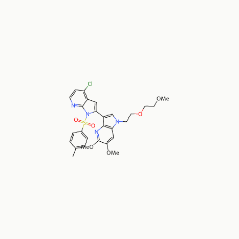 COCCOCCn1cc(-c2cc3c(Cl)ccnc3n2S(=O)(=O)c2ccc(C)cc2)c2nc(OC)c(OC)cc21